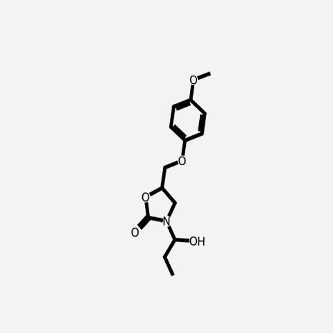 CCC(O)N1CC(COc2ccc(OC)cc2)OC1=O